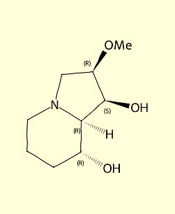 CO[C@@H]1CN2CCC[C@@H](O)[C@@H]2[C@@H]1O